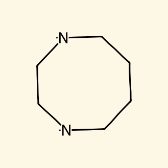 C1CC[N]CC[N]C1